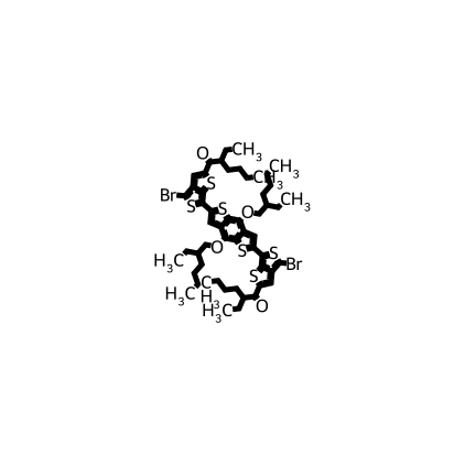 CCCCC(CC)COc1c2cc(-c3sc(Br)c4cc(C(=O)C(CC)CCCC)sc34)sc2c(OCC(CC)CCCC)c2cc(-c3sc(Br)c4cc(C(=O)C(CC)CCCC)sc34)sc12